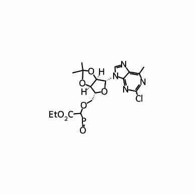 CCOC(=O)C(OC[C@H]1O[C@@H](n2cnc3c(C)nc(Cl)nc32)[C@@H]2OC(C)(C)O[C@@H]21)P=O